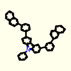 c1ccc(-n2c3ccc(-c4cccc(-c5ccc6ccccc6c5)c4)cc3c3cc(-c4cccc(-c5ccc6ccccc6c5)c4)ccc32)cc1